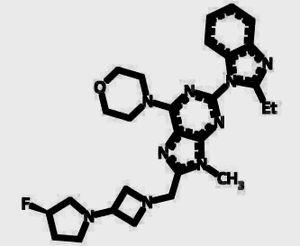 CCc1nc2ccccc2n1-c1nc(N2CCOCC2)c2nc(CN3CC(N4CC[C@@H](F)C4)C3)n(C)c2n1